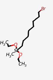 CCO[Si](C)(CCCCCCCCBr)OCC